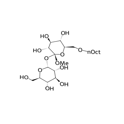 CCCCCCCCOC[C@H]1O[C@](OC)(O[C@H]2O[C@H](CO)[C@@H](O)[C@H](O)[C@H]2O)[C@H](O)[C@@H](O)[C@@H]1O